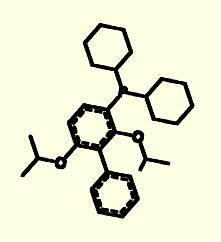 CC(C)Oc1ccc(P(C2CCCCC2)C2CCCCC2)c(OC(C)C)c1-c1ccccc1